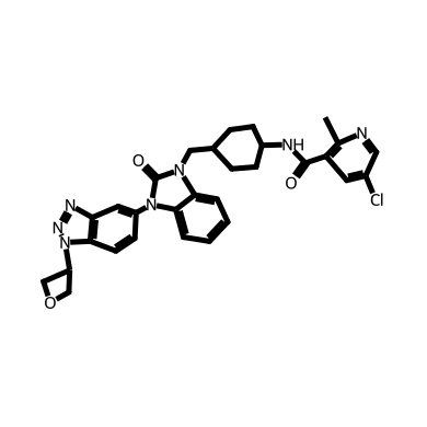 Cc1ncc(Cl)cc1C(=O)NC1CCC(Cn2c(=O)n(-c3ccc4c(c3)nnn4C3COC3)c3ccccc32)CC1